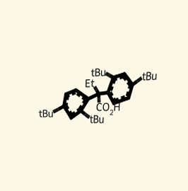 CCC(C(=O)O)(c1ccc(C(C)(C)C)cc1C(C)(C)C)c1ccc(C(C)(C)C)cc1C(C)(C)C